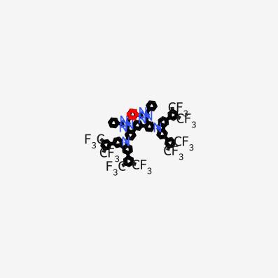 FC(F)(F)c1cc(-c2ccc3c(c2)c2cc(-c4cc(C(F)(F)F)cc(C(F)(F)F)c4)ccc2n3-c2ccc(-c3cccc(-c4ccc(-n5c6ccc(-c7cc(C(F)(F)F)cc(C(F)(F)F)c7)cc6c6cc(-c7cc(C(F)(F)F)cc(C(F)(F)F)c7)ccc65)cc4-c4nc(-c5ccccc5)nc(-c5ccccc5)n4)c3)c(-c3nc(-c4ccccc4)nc(-c4ccccc4)n3)c2)cc(C(F)(F)F)c1